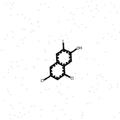 Oc1cc2c(Cl)cc(Cl)cc2cc1I